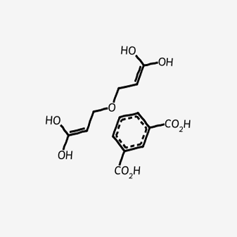 O=C(O)c1cccc(C(=O)O)c1.OC(O)=CCOCC=C(O)O